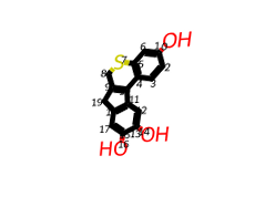 Oc1ccc2c(c1)SCC1=C2c2cc(O)c(O)cc2C1